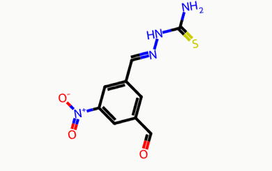 NC(=S)NN=Cc1cc(C=O)cc([N+](=O)[O-])c1